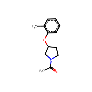 O=C(N1CC[C@H](Oc2ccccc2C(F)(F)F)C1)C(F)(F)F